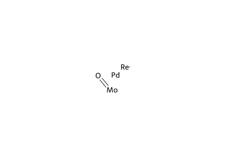 [O]=[Mo].[Pd].[Re]